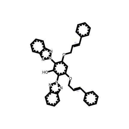 Oc1c(-n2nc3ccccc3n2)c(OC/C=C/c2ccccc2)cc(OC/C=C/c2ccccc2)c1-n1nc2ccccc2n1